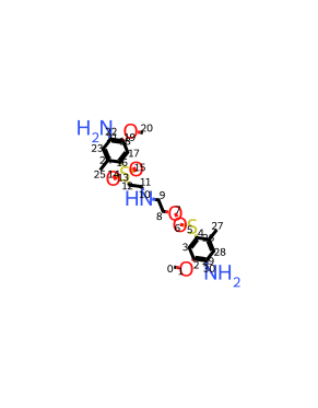 COc1cc(SOOCCNCCS(=O)(=O)c2cc(OC)c(N)cc2C)c(C)cc1N